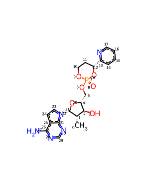 C[C@H]1[C@H](O)[C@@H](COP2(=O)OCC[C@H](c3ccccn3)O2)O[C@H]1n1ccc2c(N)ncnc21